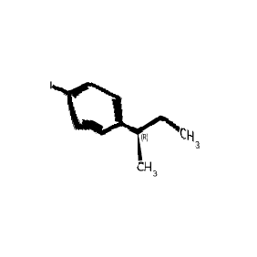 CC[C@@H](C)c1ccc(I)cc1